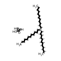 CCCCCCCCCCCCN(CCCCCCCCCCCC)CCCCCCCCCCCC.O=P(O)(O)O